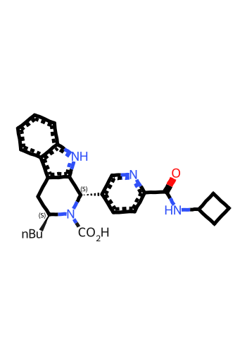 CCCC[C@H]1Cc2c([nH]c3ccccc23)[C@H](c2ccc(C(=O)NC3CCC3)nc2)N1C(=O)O